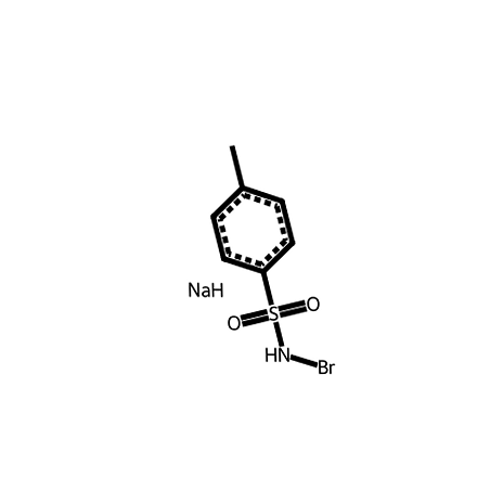 Cc1ccc(S(=O)(=O)NBr)cc1.[NaH]